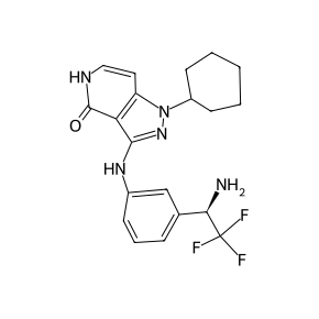 N[C@H](c1cccc(Nc2nn(C3CCCCC3)c3cc[nH]c(=O)c23)c1)C(F)(F)F